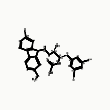 CCc1ccc2c(c1)C(NC[C@H](O)[C@H](Cc1cc(F)cc(F)c1)NC(=O)O)c1cc(F)ccc1-2